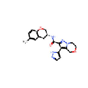 O=C(N[C@H]1COc2ccc(C(F)(F)F)cc2C1)c1nn2c(c1-c1ccn[nH]1)COCC2